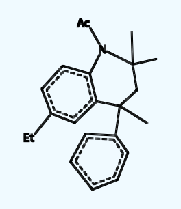 CCc1ccc2c(c1)C(C)(c1ccccc1)CC(C)(C)N2C(C)=O